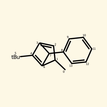 CC1[C]=C2C(C(C)(C)C)=C1C2c1ccccc1